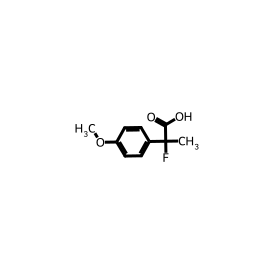 COc1ccc(C(C)(F)C(=O)O)cc1